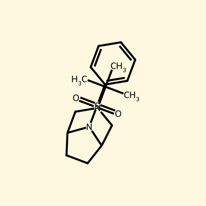 CC(C)(C)N1CC2CCC(C1)N2S(=O)(=O)c1ccccc1